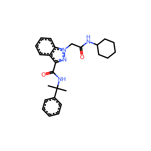 CC(C)(NC(=O)c1nn(CC(=O)NC2CCCCC2)c2ccccc12)c1ccccc1